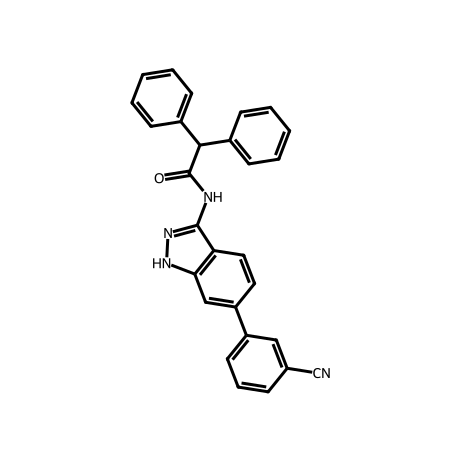 N#Cc1cccc(-c2ccc3c(NC(=O)C(c4ccccc4)c4ccccc4)n[nH]c3c2)c1